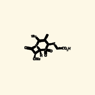 CO[C@H]1C(=O)N2C(C(C)(C)C)=C(C)C(SCC(=O)O)S(=O)(=O)[C@H]12